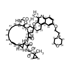 Cc1nc2ccc(OCCN3CCOCC3)cc2c2c1O[C@]1(CC2)C[C@H]2C(=O)N[C@]3(C(=O)NS(=O)(=O)C4(C)CC4)C[C@H]3C=CCCCCC[C@H](NC(=O)O)C(=O)N2C1